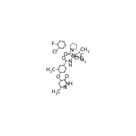 Cc1cc(Oc2ccc(C(=O)NC(C)C(=O)N3[C@H](c4ccc(F)c(Cl)c4)CC[C@@H]3C(C)(C)C#N)cc2C)c(=O)[nH]n1